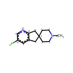 CN1CCC2(CC1)Cc1cc(F)cnc1C2